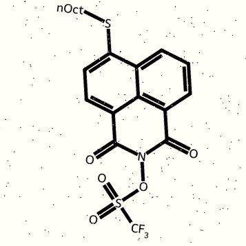 CCCCCCCCSc1ccc2c3c(cccc13)C(=O)N(OS(=O)(=O)C(F)(F)F)C2=O